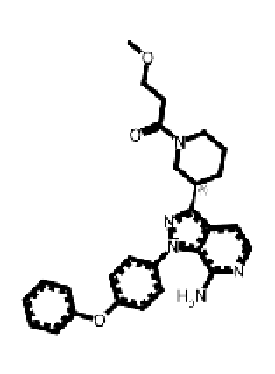 COCCC(=O)N1CCC[C@@H](c2nn(-c3ccc(Oc4ccccc4)cc3)c3c(N)nccc23)C1